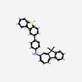 CC1(C)C2=CC(Nc3ccc(-c4ccc5sc6ccccc6c5c4)cc3)=C=CC=C2c2ccccc21